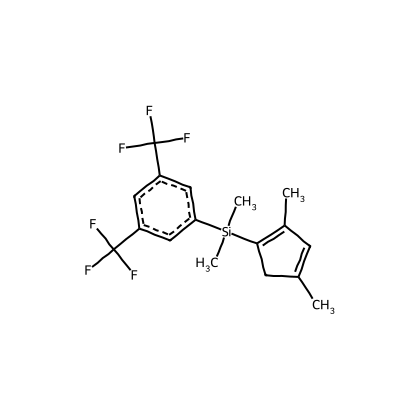 CC1=CC(C)=C([Si](C)(C)c2cc(C(F)(F)F)cc(C(F)(F)F)c2)C1